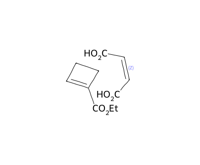 CCOC(=O)C1=CCC1.O=C(O)/C=C\C(=O)O